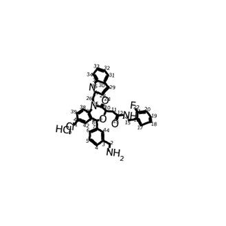 Cl.NCc1cccc(C2OC(CC(=O)NCc3ccccc3F)C(=O)N(Cc3ccc4ccccc4n3)c3ccc(Cl)cc32)c1